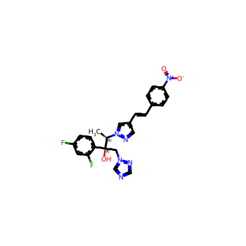 C[C@@H](n1cc(C=Cc2ccc([N+](=O)[O-])cc2)cn1)[C@](O)(Cn1cncn1)c1ccc(F)cc1F